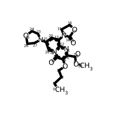 CCCCOc1c(C(=O)OC)nc2c(N3CCOC3=O)cc(N3CCOCC3)cn2c1=O